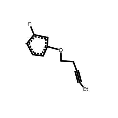 CCC#CCCOc1cc[c]c(F)c1